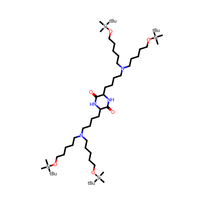 CC(C)(C)[Si](C)(C)OCCCCCN(CCCCCO[Si](C)(C)C(C)(C)C)CCCCC1NC(=O)C(CCCCN(CCCCCO[Si](C)(C)C(C)(C)C)CCCCCO[Si](C)(C)C(C)(C)C)NC1=O